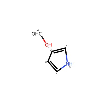 O=CO.c1cc[nH]c1